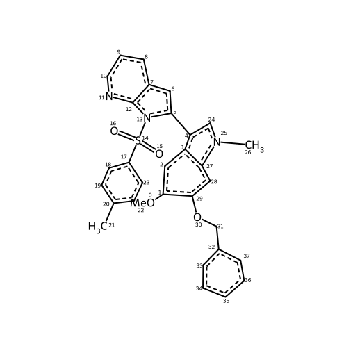 COc1cc2c(-c3cc4cccnc4n3S(=O)(=O)c3ccc(C)cc3)cn(C)c2cc1OCc1ccccc1